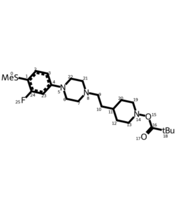 CSc1ccc(N2CCN(CCC3CCN(OC(=O)C(C)(C)C)CC3)CC2)cc1F